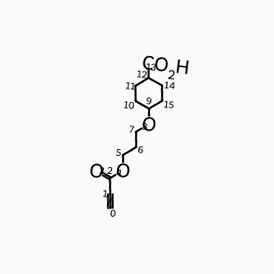 C#CC(=O)OCCCOC1CCC(C(=O)O)CC1